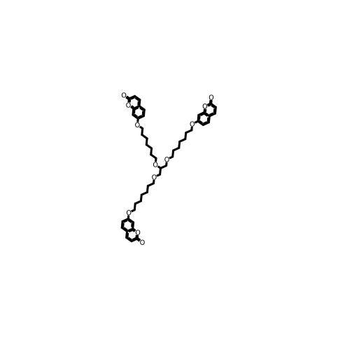 O=c1ccc2ccc(OCCCCCCCOCC(COCCCCCCCOc3ccc4ccc(=O)oc4c3)OCCCCCCCOc3ccc4ccc(=O)oc4c3)cc2o1